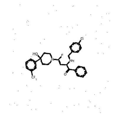 O=C(c1ccccc1)C(CC(F)N1CCC(O)(c2cccc(C(F)(F)F)c2)CC1)NCc1ccc(Cl)cc1